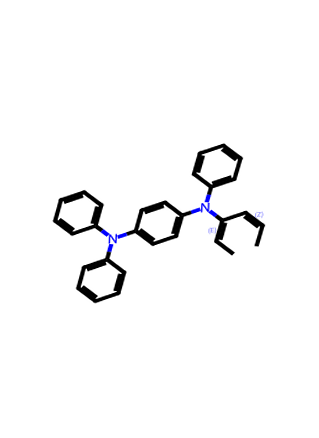 C/C=C\C(=C/C)N(c1ccccc1)c1ccc(N(c2ccccc2)c2ccccc2)cc1